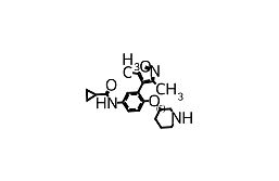 Cc1noc(C)c1-c1cc(NC(=O)C2CC2)ccc1O[C@H]1CCCNC1